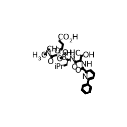 CC(C)C[C@H](NC(=O)C(NC(=O)c1cccc(-c2ccccc2)n1)[C@@H](C)O)B(OCC(=O)N(C)C)OC(=O)CCC(=O)O